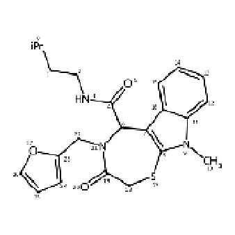 CC(C)CCNC(=O)C1c2c(n(C)c3ccccc23)SCC(=O)N1Cc1ccco1